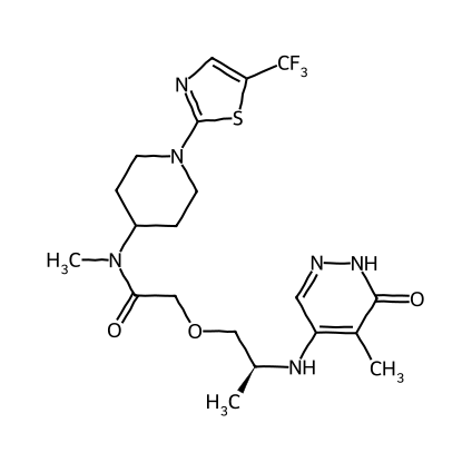 Cc1c(N[C@@H](C)COCC(=O)N(C)C2CCN(c3ncc(C(F)(F)F)s3)CC2)cn[nH]c1=O